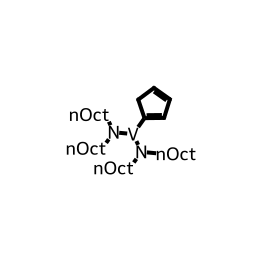 CCCCCCCC[N](CCCCCCCC)[V]([C]1=CC=CC1)[N](CCCCCCCC)CCCCCCCC